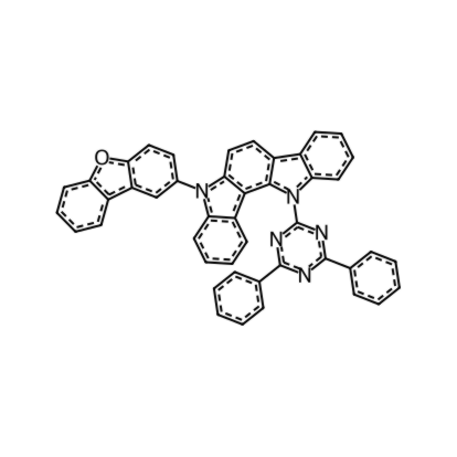 c1ccc(-c2nc(-c3ccccc3)nc(-n3c4ccccc4c4ccc5c(c6ccccc6n5-c5ccc6oc7ccccc7c6c5)c43)n2)cc1